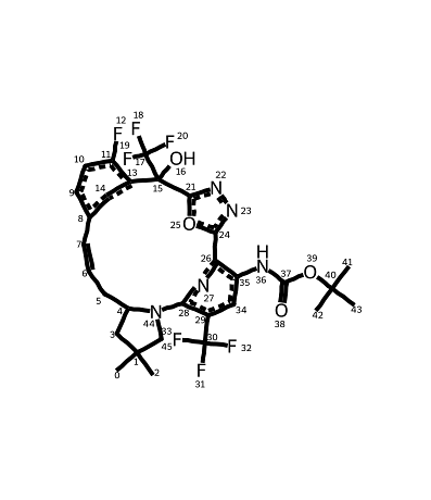 CC1(C)CC2CC=Cc3ccc(F)c(c3)C(O)(C(F)(F)F)c3nnc(o3)-c3nc(c(C(F)(F)F)cc3NC(=O)OC(C)(C)C)N2C1